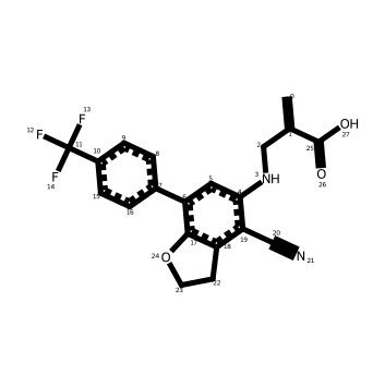 C=C(CNc1cc(-c2ccc(C(F)(F)F)cc2)c2c(c1C#N)CCO2)C(=O)O